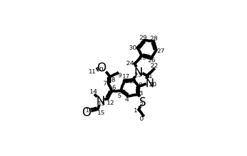 CCSc1cc(C(/C=C(\C)OC)=C/N(C)C=O)cc2c1nc(C)n2Cc1ccccc1